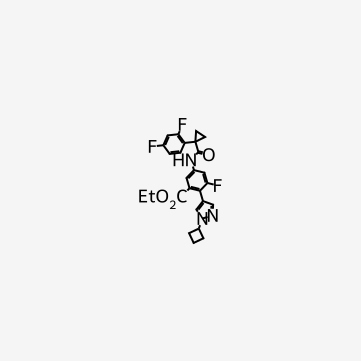 CCOC(=O)c1cc(NC(=O)C2(c3ccc(F)cc3F)CC2)cc(F)c1-c1cnn(C2CCC2)c1